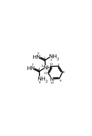 N=C(N)NC(=N)N.c1ccncc1